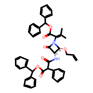 C=CCO[C@@H]1[C@H](NC(=O)C(C(=O)OC(c2ccccc2)c2ccccc2)c2ccccc2)C(=O)N1C(C(=O)OC(c1ccccc1)c1ccccc1)=C(C)C